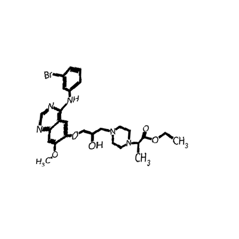 CCOC(=O)C(C)N1CCN(CC(O)COc2cc3c(Nc4cccc(Br)c4)ncnc3cc2OC)CC1